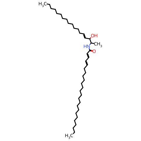 CCCCCCCCCCCCCC=CC(O)C(C)NC(=O)C=CC=CCCCCCCCCCCCCCCCCCCC